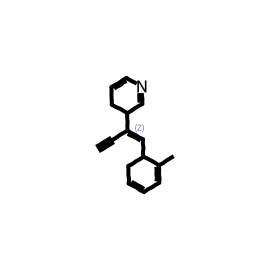 C#C/C(=C\C1CC=CC=C1C)C1C=NC=CC1